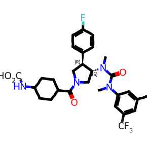 Cc1cc(N(C)C(=O)N(C)[C@@H]2CN(C(=O)C3CCC(NC(=O)O)CC3)C[C@H]2c2ccc(F)cc2)cc(C(F)(F)F)c1